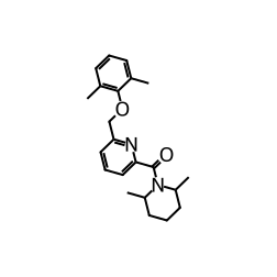 Cc1cccc(C)c1OCc1cccc(C(=O)N2C(C)CCCC2C)n1